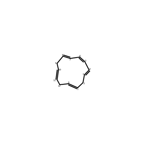 [C]1=C/C/C=C/C=C\C=C\C/C=C/C/1